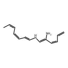 C=C/C=C\C(N)=C\N/C=C/C=C\C=C/C